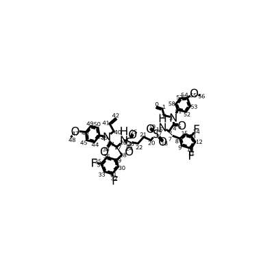 C=CCN(C(=O)[C@H](Cc1cc(F)cc(F)c1)NS(=O)(=O)CCCS(=O)(=O)N[C@@H](Cc1cc(F)cc(F)c1)C(=O)N(CC=C)c1ccc(OC)cc1)c1ccc(OC)cc1